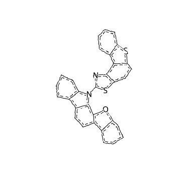 c1ccc2c(c1)oc1c2ccc2c3ccccc3n(-c3nc4c(ccc5sc6ccccc6c54)s3)c21